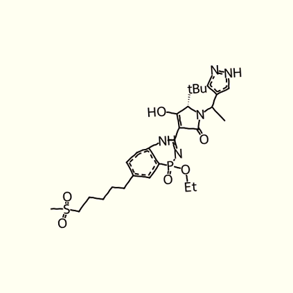 CCOP1(=O)N=C(C2=C(O)[C@H](C(C)(C)C)N(C(C)c3cn[nH]c3)C2=O)Nc2ccc(CCCCCS(C)(=O)=O)cc21